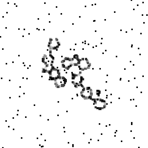 c1ccc(-c2ccc3sc4cccc(-c5ccc6oc7cccc(-c8nc(-c9ccccc9)nc(-c9ccc%10c(c9)oc9ccccc9%10)n8)c7c6c5)c4c3c2)cc1